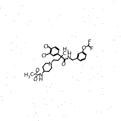 CC(CCN1CCC(NS(C)(=O)=O)CC1)(C(=O)NCc1cccc(OC(F)F)c1)c1ccc(Cl)c(Cl)c1